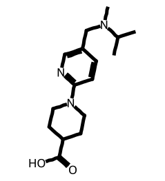 CC(C)N(C)Cc1ccc(N2CCC(C(=O)O)CC2)nc1